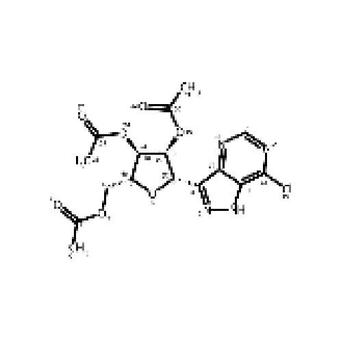 CC(=O)OC[C@H]1O[C@@H](c2n[nH]c3c(Cl)ncnc23)[C@H](OC(C)=O)[C@@H]1OC(C)=O